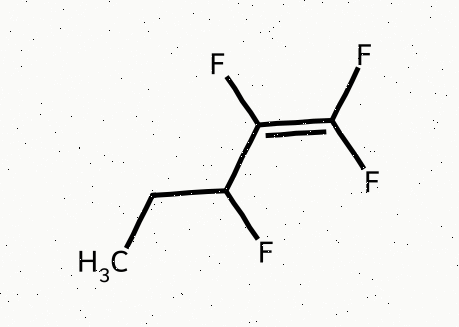 CCC(F)C(F)=C(F)F